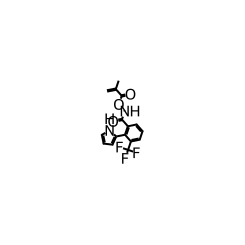 C=C(C)C(=O)ONC(=O)c1cccc(C(F)(F)F)c1-c1ccc[nH]1